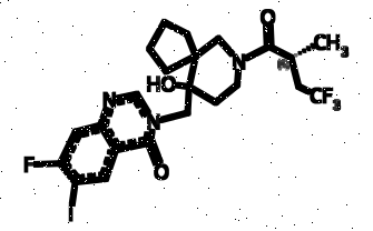 C[C@H](CC(F)(F)F)C(=O)N1CCC(O)(Cn2cnc3cc(F)c(I)cc3c2=O)C2(CCCC2)C1